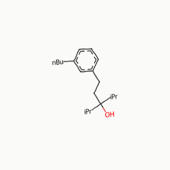 CCCCc1cccc(CCC(O)(C(C)C)C(C)C)c1